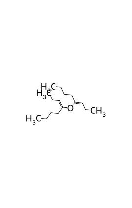 CCC=C(CCCC)OC(=CCC)CCCC